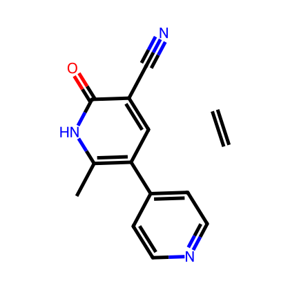 C=C.Cc1[nH]c(=O)c(C#N)cc1-c1ccncc1